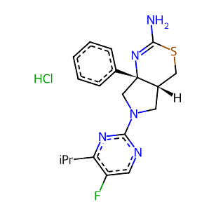 CC(C)c1nc(N2C[C@H]3CSC(N)=N[C@@]3(c3ccccc3)C2)ncc1F.Cl